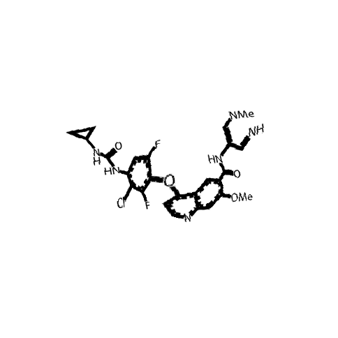 CN/C=C(\C=N)NC(=O)c1cc2c(Oc3c(F)cc(NC(=O)NC4CC4)c(Cl)c3F)ccnc2cc1OC